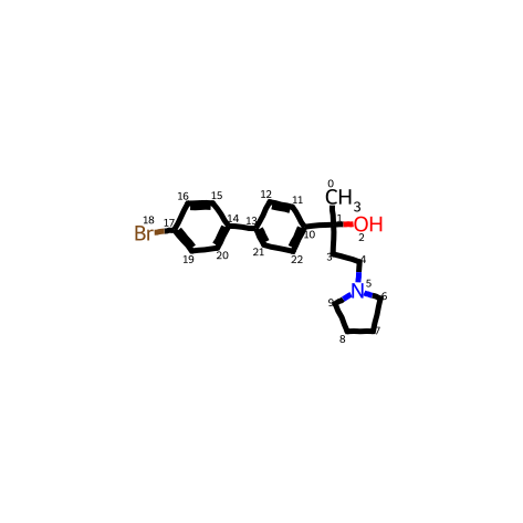 CC(O)(CCN1CCCC1)c1ccc(-c2ccc(Br)cc2)cc1